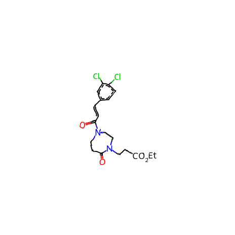 CCOC(=O)CCN1CCN(C(=O)C=Cc2ccc(Cl)c(Cl)c2)CCC1=O